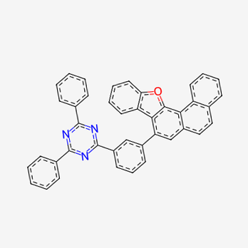 c1ccc(-c2nc(-c3ccccc3)nc(-c3cccc(-c4cc5ccc6ccccc6c5c5oc6ccccc6c45)c3)n2)cc1